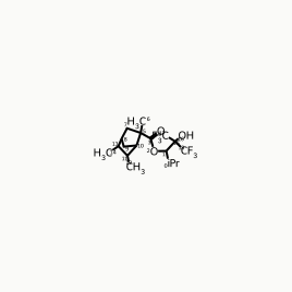 CC(C)C(OC(=O)C1(C)CC2CC1C(C)C2C)C(O)(C(F)(F)F)C(F)(F)F